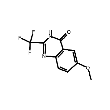 COc1ccc2nc(C(F)(F)F)[nH]c(=O)c2c1